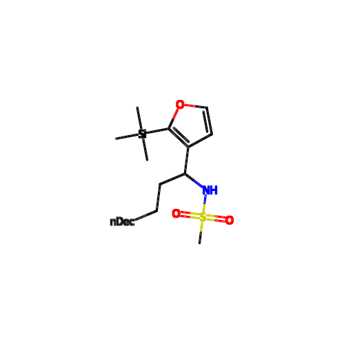 CCCCCCCCCCCCC(NS(C)(=O)=O)c1ccoc1[Si](C)(C)C